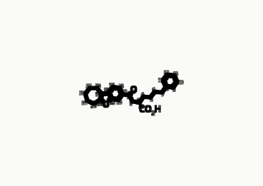 O=C(C[C@@H](CCCCc1ccccc1)C(=O)O)c1ccc2c3c(oc2c1)CCCCC3